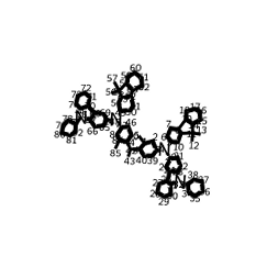 Cc1cc(N(c2ccc3c(c2)C(C)(C)c2ccccc2-3)c2ccc3c(c2)c2ccccc2n3-c2ccccc2)ccc1C(C)c1ccc(N(c2ccc3c(c2)C(C)(C)c2ccccc2-3)c2ccc3c(c2)c2ccccc2n3-c2ccccc2)cc1C